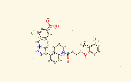 Cc1cccc(OCCCC(=O)N2CCCc3c(-c4cnn(Cc5c(F)cc(C(=O)O)cc5Cl)c4)cccc32)c1C